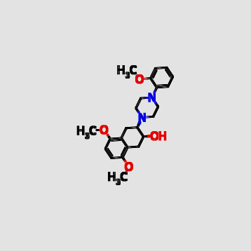 COc1ccccc1N1CCN([C@@H]2Cc3c(OC)ccc(OC)c3C[C@@H]2O)CC1